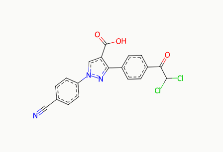 N#Cc1ccc(-n2cc(C(=O)O)c(-c3ccc(C(=O)C(Cl)Cl)cc3)n2)cc1